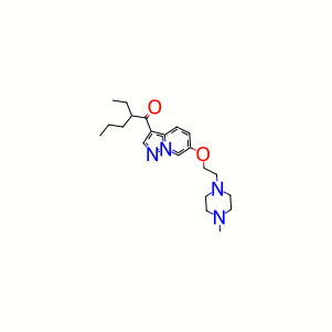 CCCC(CC)C(=O)c1cnn2cc(OCCN3CCN(C)CC3)ccc12